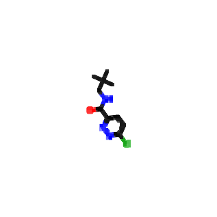 CC(C)(C)CNC(=O)c1ccc(Cl)nn1